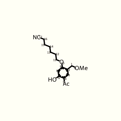 COCc1cc(C(C)=O)c(O)cc1OCCCCCCC#N